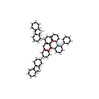 c1ccc(-c2ccccc2-c2c(-c3ccccc3)cccc2N(c2ccc(-c3ccc4c(c3)oc3ccccc34)cc2)c2cccc(-c3cccc4c3sc3ccccc34)c2)cc1